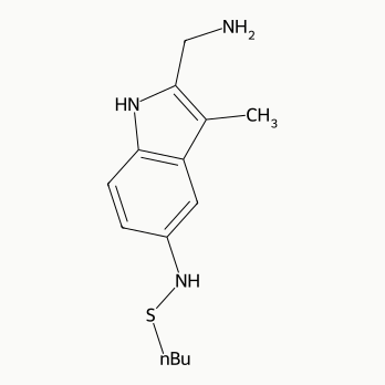 CCCCSNc1ccc2[nH]c(CN)c(C)c2c1